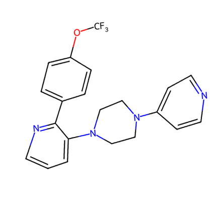 FC(F)(F)Oc1ccc(-c2ncccc2N2CCN(c3ccncc3)CC2)cc1